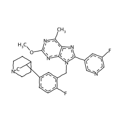 COc1nc(C)c2nc(-c3cncc(F)c3)n(Cc3cc(C4CN5CCC4CC5)ccc3F)c2n1